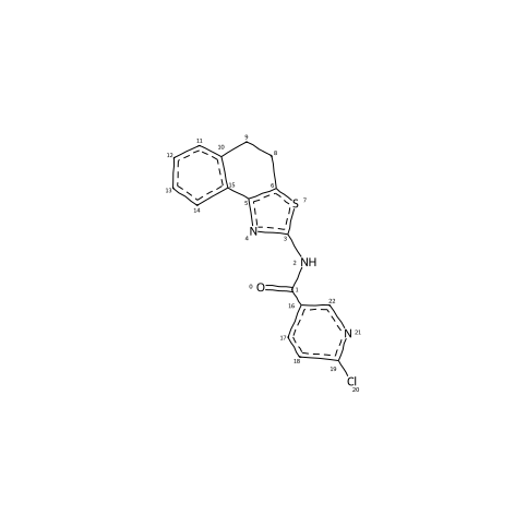 O=C(Nc1nc2c(s1)CCc1ccccc1-2)c1ccc(Cl)nc1